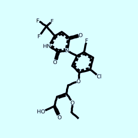 CCOC(=CC(=O)O)COc1cc(-n2c(=O)cc(C(F)(F)F)[nH]c2=O)c(F)cc1Cl